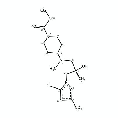 CN(C[C@](C)(O)Cn1cc([N+](=O)[O-])nc1Cl)C1CCN(C(=O)OC(C)(C)C)CC1